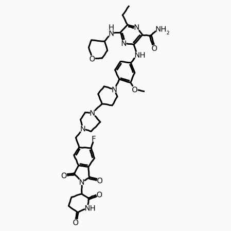 CCc1nc(C(N)=O)c(Nc2ccc(N3CCC(N4CCN(Cc5cc6c(cc5F)C(=O)N(C5CCC(=O)NC5=O)C6=O)CC4)CC3)c(OC)c2)nc1NC1CCOCC1